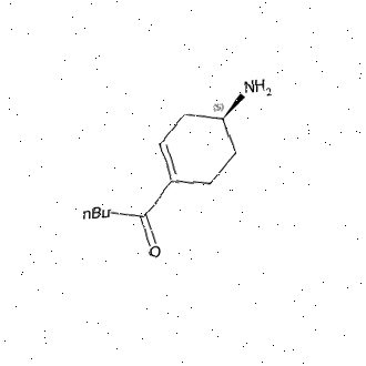 CCCCC(=O)C1=CC[C@@H](N)CC1